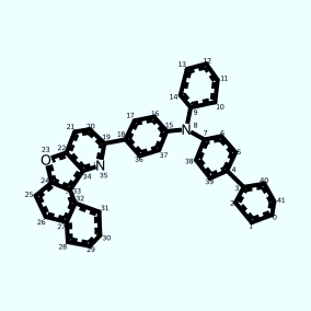 c1ccc(-c2ccc(N(c3ccccc3)c3ccc(-c4ccc5oc6ccc7ccccc7c6c5n4)cc3)cc2)cc1